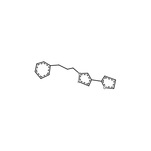 c1ccc(CCCn2cc(-c3ccco3)cn2)cc1